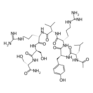 CC(=O)N[C@@H](CC(C)C)C(=O)N[C@@H](Cc1ccc(O)cc1)C(=O)N[C@@H](CCCNC(=N)N)C(=O)N[C@H](C(=O)N[C@@H](CCCNC(=N)N)C(=O)N[C@@H](CO)C(=O)N[C@@H](CO)C(N)=O)C(C)C